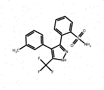 Cc1cccc(-c2c(-c3ccccc3S(N)(=O)=O)n[nH]c2C(F)(F)F)c1